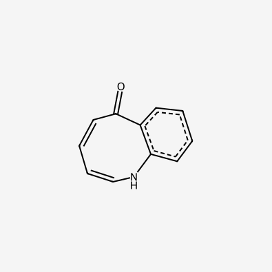 O=C1/C=C\C=C/Nc2ccccc21